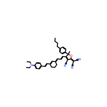 CCCCc1ccc(C2(C)OC(=C(C#N)C#N)C(C#N)=C2C=C/C=C2C=C(/C=C/c3ccc(N(CC)CC)cc3)CCC/2)cc1